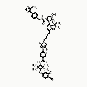 Cc1ncsc1-c1ccc(CNC(=O)[C@@H]2C[C@@H](O)CN2C(=O)[C@@H](NC(=O)COCCN2C[C@H]3C[C@@H]2CN3c2ccc(C(=O)N[C@H]3C(C)(C)[C@H](Oc4ccc(C#N)c(Cl)c4)C3(C)C)cn2)C(C)(C)C)cc1